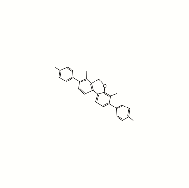 Cc1ccc(-c2ccc3c(c2C)COc2c-3ccc(-c3ccc(C)cc3)c2C)cc1